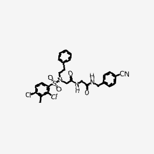 Cc1c(Cl)ccc(S(=O)(=O)N(CCc2ccccc2)CC(=O)NCC(=O)NCc2ccc(C#N)cc2)c1Cl